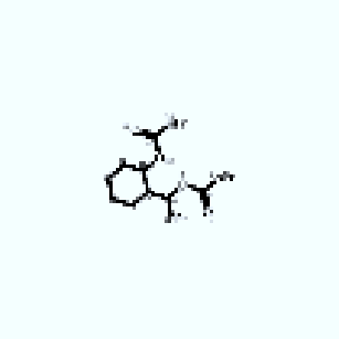 CCCC(=O)OC(CCC)C1CCCCC1OC(=O)CCC